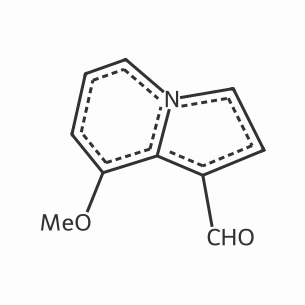 COc1cccn2ccc(C=O)c12